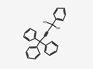 OC(O)(C#CC(c1ccccc1)(c1ccccc1)c1ccccc1)c1ccccc1